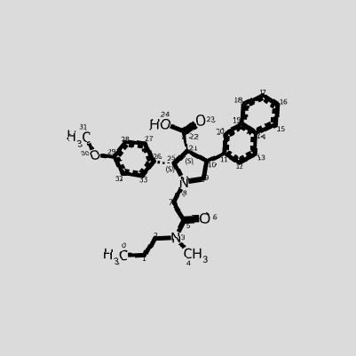 CCCN(C)C(=O)CN1CC(c2ccc3ccccc3c2)[C@H](C(=O)O)[C@H]1c1ccc(OC)cc1